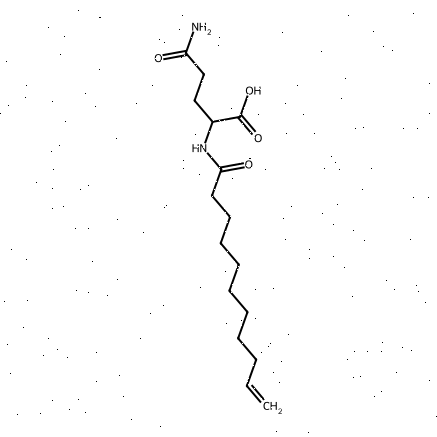 C=CCCCCCCCCC(=O)NC(CCC(N)=O)C(=O)O